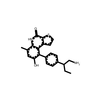 CCC(CN)c1ccc(-c2c(O)cc(C)c3[nH]c(=O)c4sccc4c23)cc1